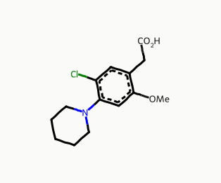 COc1cc(N2CCCCC2)c(Cl)cc1CC(=O)O